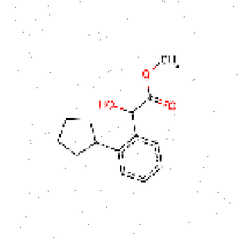 COC(=O)C(O)c1ccccc1C1CCCC1